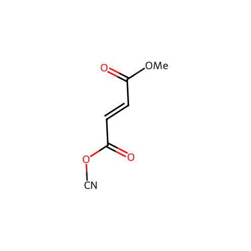 COC(=O)/C=C/C(=O)OC#N